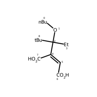 CCCCOC(CC)(C(=CC(=O)O)C(=O)O)C(C)(C)C